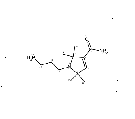 CC1(C)C=C(C(N)=O)C(C)(C)N1CCCN